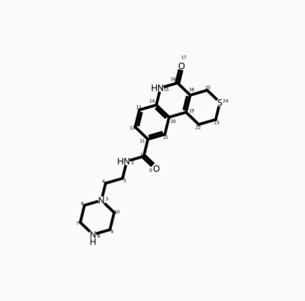 O=C(NCCN1CCNCC1)c1ccc2[nH]c(=O)c3c(c2c1)CCSC3